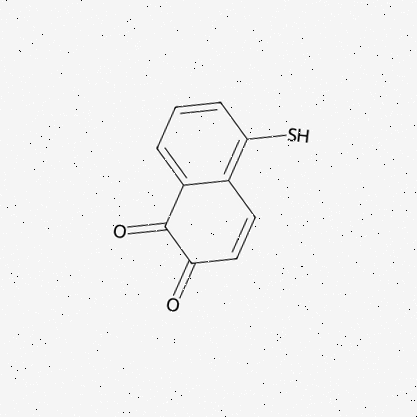 O=C1C=Cc2c(S)cccc2C1=O